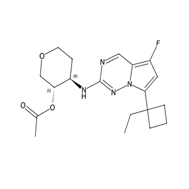 CCC1(c2cc(F)c3cnc(N[C@@H]4CCOC[C@H]4OC(C)=O)nn23)CCC1